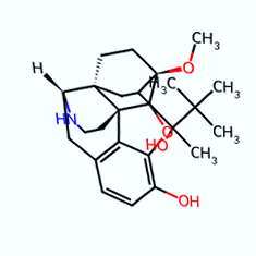 CO[C@]12CC[C@@]3(CC1C(C)(O)C(C)(C)C)[C@H]1Cc4ccc(O)c5c4[C@@]3(CCN1)C2O5